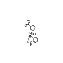 CCOC(=O)c1cccc(S(=O)(=O)Nc2ccccc2C(F)(F)F)c1